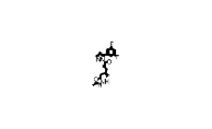 C=C(CCC(=O)N1N=CCC1c1cc(F)cc(F)c1)CC1NN=C(C)O1